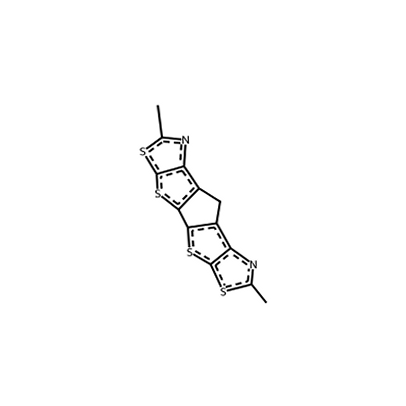 Cc1nc2c3c(sc2s1)-c1sc2sc(C)nc2c1C3